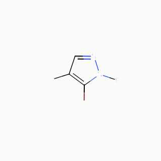 CCn1ncc(C=O)c1Br